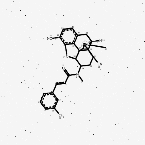 CN(C(=O)/C=C/c1cccc(C(F)(F)F)c1)C1CC[C@@]2(O)[C@H]3Cc4ccc(O)c5c4[C@@]2(CC(C#N)N3C)C1O5